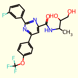 CC(NC(=O)c1cc(-c2ccc(OC(F)(F)F)cc2)nc(-c2cccc(F)c2)n1)C(O)CO